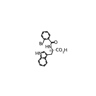 O=C(N[C@@H](Cc1c[nH]c2ccccc12)C(=O)O)c1ccccc1Br